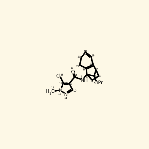 CCCC1C2CCC1(NC(=O)c1cnn(C)c1Cl)C1=C2C=CCC1